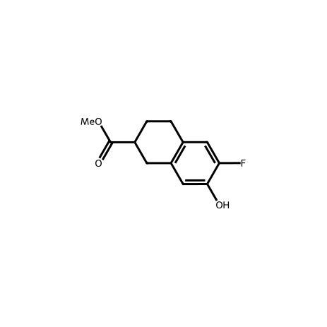 COC(=O)C1CCc2cc(F)c(O)cc2C1